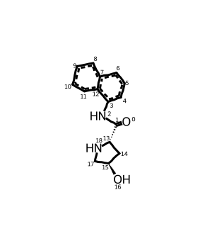 O=C(Nc1cccc2ccccc12)[C@@H]1C[C@@H](O)CN1